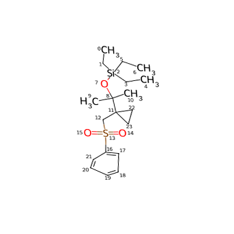 CC[Si](CC)(CC)OC(C)(C)C1(CS(=O)(=O)c2ccccc2)CC1